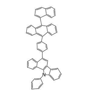 c1ccc(-n2c3ccccc3c3cc(-c4ccc(-c5c6ccccc6c(-c6cccc7ccccc67)c6ccccc56)cc4)c4ccccc4c32)cc1